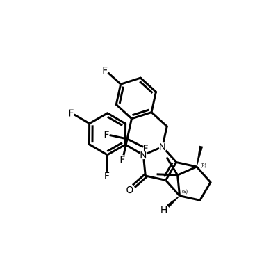 CC1(C)[C@@H]2CC[C@@]1(C)c1c2c(=O)n(-c2ccc(F)cc2F)n1Cc1ccc(F)cc1C(F)(F)F